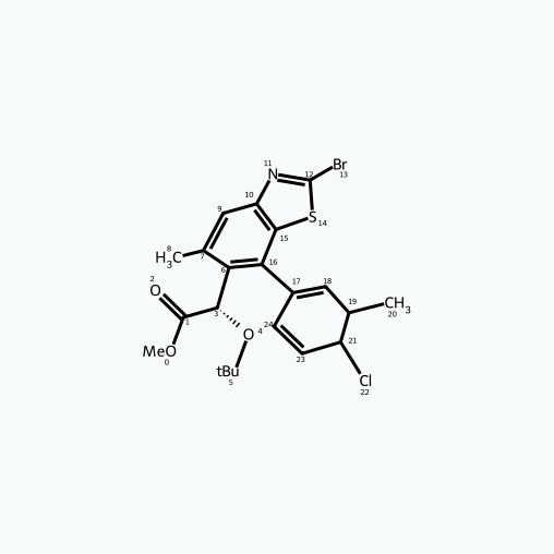 COC(=O)[C@@H](OC(C)(C)C)c1c(C)cc2nc(Br)sc2c1C1=CC(C)C(Cl)C=C1